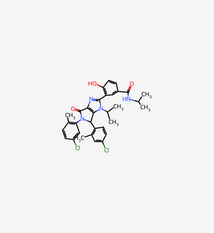 Cc1cc(Cl)ccc1C1c2c(nc(-c3cc(C(=O)NC(C)C)ccc3O)n2C(C)C)C(=O)N1c1cc(Cl)ccc1C